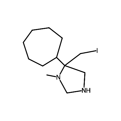 CN1CNCC1(CI)C1CCCCCC1